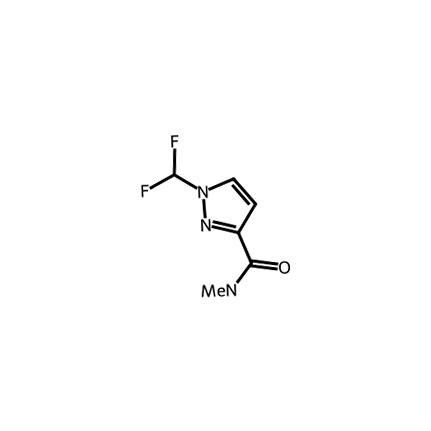 CNC(=O)c1ccn(C(F)F)n1